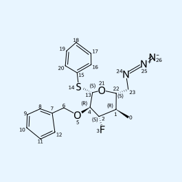 C[C@H]1[C@H](F)[C@@H](OCc2ccccc2)[C@H](Sc2ccccc2)O[C@@H]1CN=[N+]=[N-]